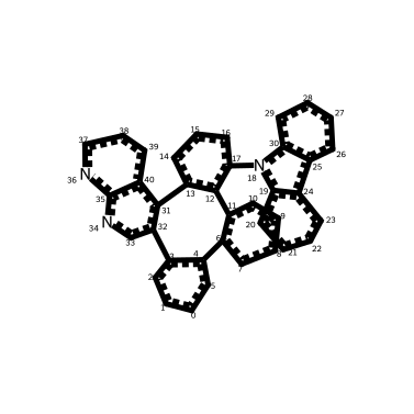 c1ccc2c(c1)-c1ccccc1-c1c(cccc1-n1c3ccccc3c3ccccc31)-c1c-2cnc2ncccc12